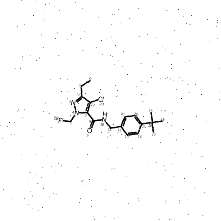 CCc1nn(C[18F])c(C(=O)NCc2ccc(C(C)(C)C)cc2)c1Cl